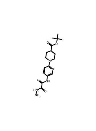 CC(C)(C)OC(=O)C1CCN(c2ccc(NC(=O)C(=O)NN)cn2)CC1